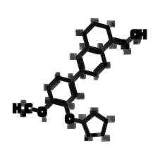 COc1ccc(-c2ccc3c(c2)CCC/C3=N\O)cc1OC1CCCC1